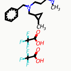 CC1CC1CN(CCCN(C)C)Cc1ccccc1.O=C(O)C(F)(F)F.O=C(O)C(F)(F)F